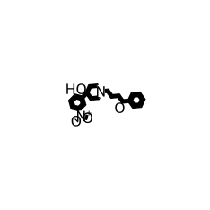 O=C(CCCN1CCC(O)(c2cccc([N+](=O)[O-])c2)CC1)c1ccccc1